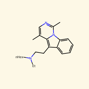 CCCCCCN(CC)CCc1c2ccccc2n2c(C)ncc(C)c12